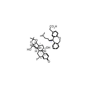 CC1(C)O[C@@H]2C[C@H]3[C@@H]4C[C@H](F)C5=CC(=O)C=C[C@]5(C)[C@H]4[C@@H](O)C[C@]3(C)[C@]2(C(=O)CO)O1.CN(C)CC/C=C1/c2ccccc2COc2ccc(CC(=O)O)cc21